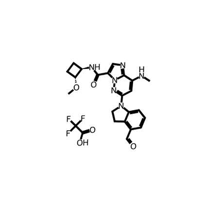 CNc1cc(N2CCc3c(C=O)cccc32)nn2c(C(=O)N[C@@H]3CC[C@H]3OC)cnc12.O=C(O)C(F)(F)F